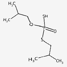 CC(C)COP(=O)(S)SCC(C)C